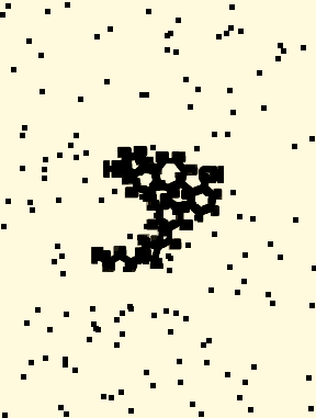 N#Cc1ccccc1C1=C(c2ccc(CC3CN(CCCF)C3)cc2)c2ccc3[nH]ccc3c2CCC1